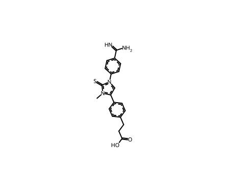 Cn1c(-c2ccc(CCC(=O)O)cc2)cn(-c2ccc(C(=N)N)cc2)c1=S